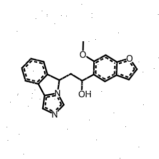 COc1cc2occc2cc1C(O)CC1c2ccccc2-c2cncn21